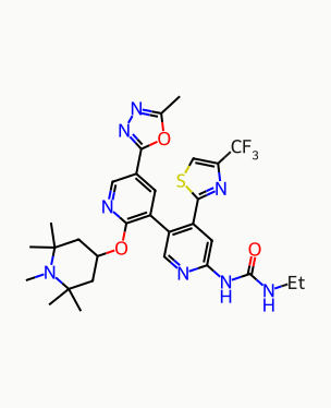 CCNC(=O)Nc1cc(-c2nc(C(F)(F)F)cs2)c(-c2cc(-c3nnc(C)o3)cnc2OC2CC(C)(C)N(C)C(C)(C)C2)cn1